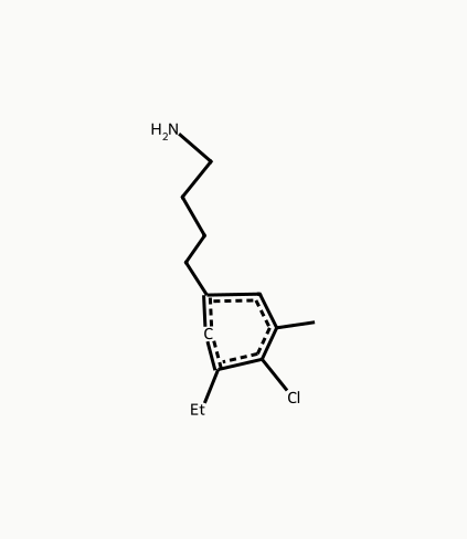 CCc1cc(CCCCN)cc(C)c1Cl